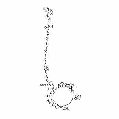 CO[C@H]1C[C@@H]2CC[C@@H](C)[C@@](O)(O2)C(=O)C(=O)N2CCCC[C@H]2C(=O)O[C@H]([C@H](N)C[C@@H]2CC[C@@H](OCCCCc3cn(CCOCCOCCOCCOCCOCCOCCC(=O)NCCCCn4ncc5c(N)ncnc54)nn3)[C@H](OC)C2)CC(=O)[C@H](C)/C=C(\C)[C@@H](O)[C@@H](O)C(=O)[C@H](C)C[C@H](C)/C=C/C=C/C=C/1C